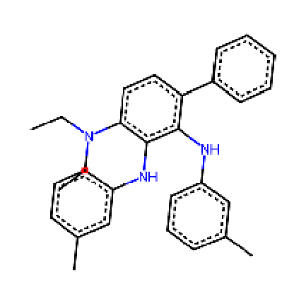 CCN(CC)c1ccc(-c2ccccc2)c(Nc2cccc(C)c2)c1Nc1cccc(C)c1